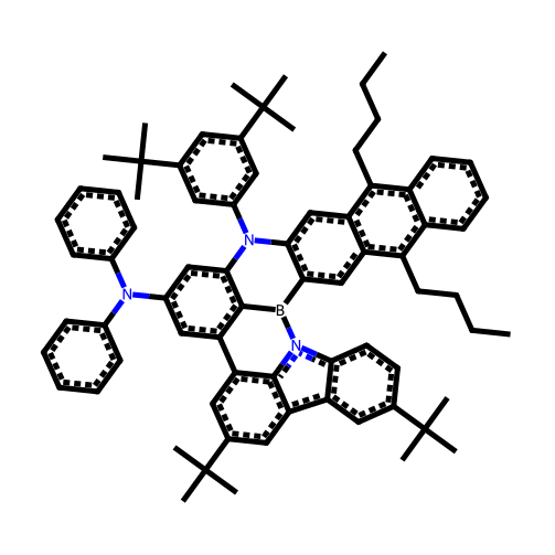 CCCCc1c2ccccc2c(CCCC)c2cc3c(cc12)B1c2c(cc(N(c4ccccc4)c4ccccc4)cc2N3c2cc(C(C)(C)C)cc(C(C)(C)C)c2)-c2cc(C(C)(C)C)cc3c4cc(C(C)(C)C)ccc4n1c23